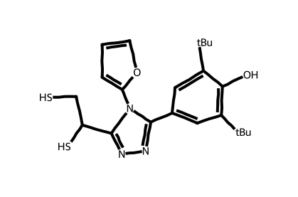 CC(C)(C)c1cc(-c2nnc(C(S)CS)n2-c2ccco2)cc(C(C)(C)C)c1O